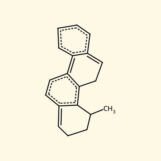 CC1CCC=c2ccc3c(c21)CC=c1ccccc1=3